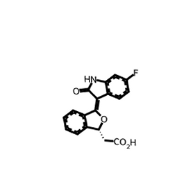 O=C(O)C[C@H]1O/C(=C2/C(=O)Nc3cc(F)ccc32)c2ccccc21